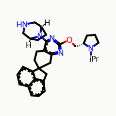 CC(C)N1CCC[C@H]1COc1nc2c(c(N3[C@@H]4CC[C@H]3CNC4)n1)CCC1(C2)Cc2cccc3cccc1c23